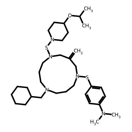 C=C1CN(Sc2ccc(N(C)C)cc2)CCCN(CC2CCCCC2)CCCN(SN2CCC(OC(C)C)CC2)C1